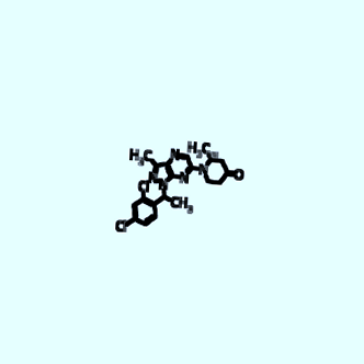 Cc1nn(C(C)c2ccc(Cl)cc2Cl)c2nc(N3CCC(=O)C[C@@H]3C)cnc12